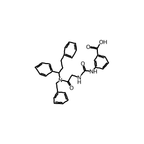 O=C(NCC(=O)N(Cc1ccccc1)C(CCc1ccccc1)c1ccccc1)Nc1cccc(C(=O)O)c1